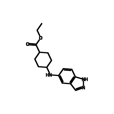 CCOC(=O)C1CCC(Nc2ccc3[nH]ncc3c2)CC1